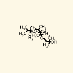 CC(C)C(C)(C)OCC(C)C(C)(C)C(C)(C)OCCC(C)(C)O